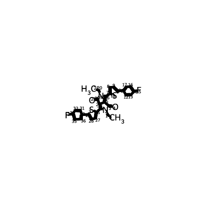 CCN1C(=O)C2=C(c3ccc(-c4ccc(F)cc4)s3)N(CC)C(=O)C2=C1c1ccc(-c2ccc(F)cc2)s1